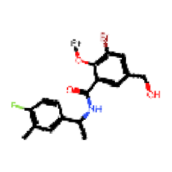 CCOc1c(Br)cc(CO)cc1C(=O)NC(C)c1ccc(F)c(C)c1